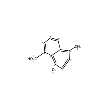 Cc1cccc2c(C(=O)O)cccc12.[Cd]